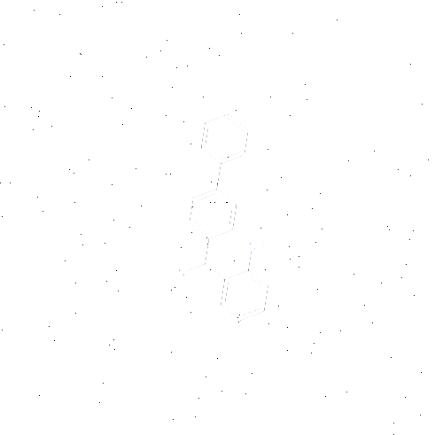 Nc1ccccc1C(N)c1ccc(-c2ccccc2)cc1